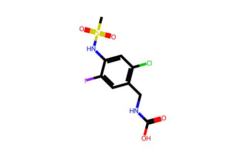 CS(=O)(=O)Nc1cc(Cl)c(CNC(=O)O)cc1I